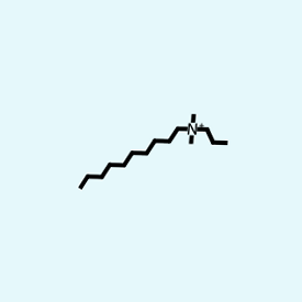 CCCCCCCCCC[N+](C)(C)CCC